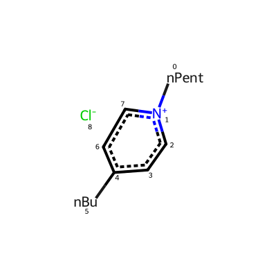 CCCCC[n+]1ccc(CCCC)cc1.[Cl-]